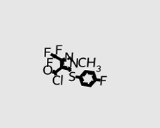 Cn1nc(C(F)(F)F)c(C(=O)Cl)c1Sc1ccc(F)cc1